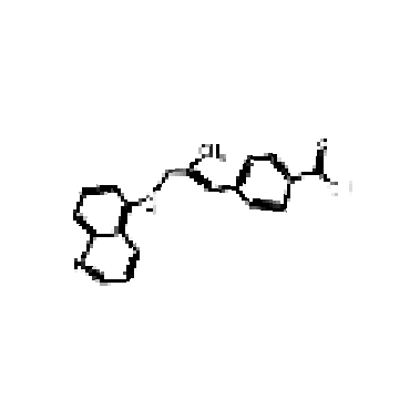 CC(=Cc1ccc(C(=O)O)cc1)CNc1cccc2ncccc12